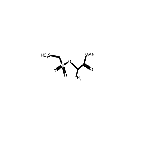 COC(=O)C(C)OS(=O)(=O)CS(=O)(=O)O